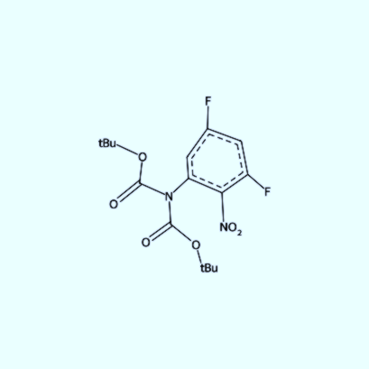 CC(C)(C)OC(=O)N(C(=O)OC(C)(C)C)c1cc(F)cc(F)c1[N+](=O)[O-]